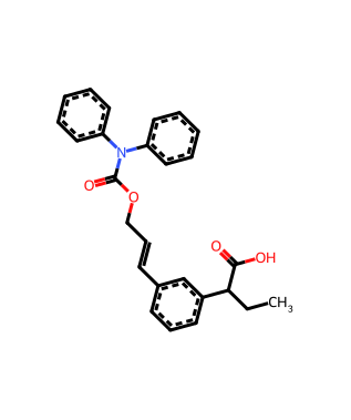 CCC(C(=O)O)c1cccc(C=CCOC(=O)N(c2ccccc2)c2ccccc2)c1